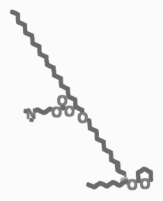 CCCCCCCCCCCCCCCCCCC(COCCCCCCCCC=CC[C@@H](CCCCCC)OC1CCCCO1)OC(=O)OCCCN(C)C